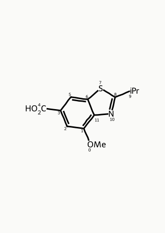 COc1cc(C(=O)O)cc2sc(C(C)C)nc12